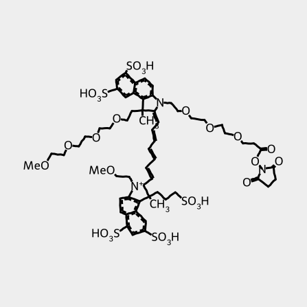 COCCOCCOCCOCCC1(C)\C(=C/C=C/C=C/C=C/C2=[N+](CCOC)c3ccc4c(S(=O)(=O)O)cc(S(=O)(=O)O)cc4c3C2(C)CCCS(=O)(=O)O)N(CCOCCOCCOCCC(=O)ON2C(=O)CCC2=O)c2ccc3c(S(=O)(=O)O)cc(S(=O)(=O)O)cc3c21